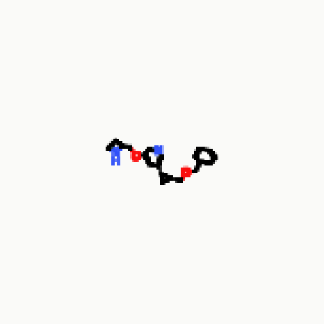 c1ccc(COC[C@H]2C[C@@H]2c2cncc(OC[C@@H]3CCN3)c2)cc1